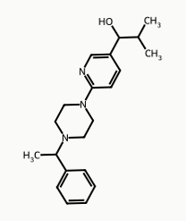 CC(C)C(O)c1ccc(N2CCN(C(C)c3ccccc3)CC2)nc1